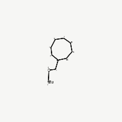 CC(C)(C)OCC1CCCCCCC1